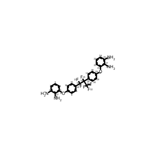 Nc1cccc(Oc2ccc(C(F)(F)C(F)(c3ccc(Oc4cccc(N)c4N)cc3)C(F)(F)F)cc2)c1N